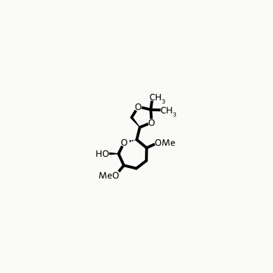 COC1CCC(OC)[C@@H]([C@H]2COC(C)(C)O2)O[C@@H]1O